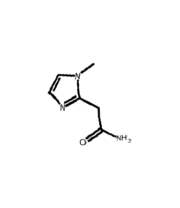 Cn1ccnc1CC(N)=O